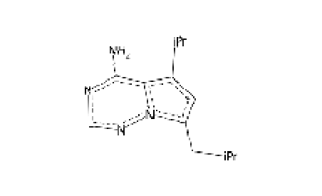 CC(C)Cc1cc(C(C)C)c2c(N)ncnn12